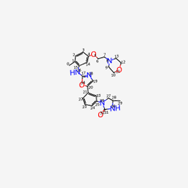 Cc1ccc(OCCN2CCOCC2)cc1Nc1ncc(-c2cccc(N3CC(C)NC3=O)c2)o1